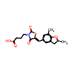 Cc1cc(/C=C2\SC(=O)N(CCCC(=O)O)C2=O)cc2c1OC(C)C2